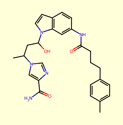 Cc1ccc(CCCC(=O)Nc2ccc3ccn(C(O)CC(C)n4cnc(C(N)=O)c4)c3c2)cc1